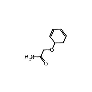 NC(=O)COC1C=CC=CC1